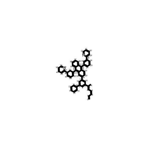 C=C/C=C\C=C(/C)c1cc(-c2ccccc2)cc(-c2ccc3c(-c4cccc(-c5ccccn5)c4)c4ccccc4c(C4=CC=CC(c5ccccn5)C4)c3c2)c1